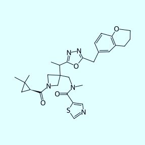 CC(c1nnc(Cc2ccc3c(c2)CCCO3)o1)C1(CN(C)C(=O)c2cncs2)CN(C(=O)[C@H]2CC2(C)C)C1